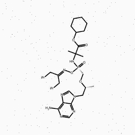 CC(C)CC(CC(C)C)=NO[P@@](=O)(CO[C@H](C)Cn1cnc2c(N)ncnc21)NC(C)(C)C(=O)OC1CCCCC1